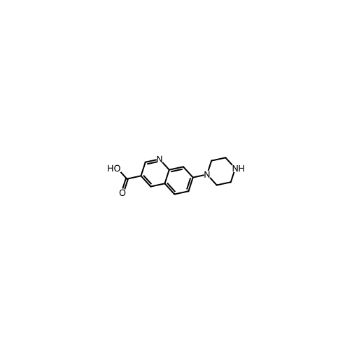 O=C(O)c1cnc2cc(N3CCNCC3)ccc2c1